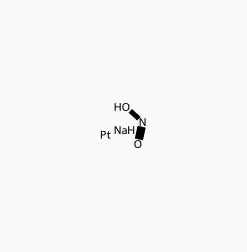 O=NO.[NaH].[Pt]